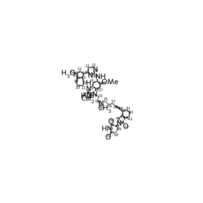 C=CC(=O)Nc1cc(Nc2nccc(-c3cn(C)c4ccccc34)n2)c(OC)cc1N(C)CCN(C)CCCC#Cc1cccc2c1CN(C1CCC(=O)NC1=O)C2=O